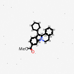 COC(=O)c1ccc2c(C3CCCCC3)c3n(c2c1)CCc1ccccc1-3